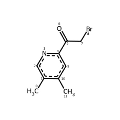 Cc1cnc(C(=O)CBr)cc1C